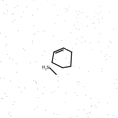 C1=CCCCC1.C[SiH3]